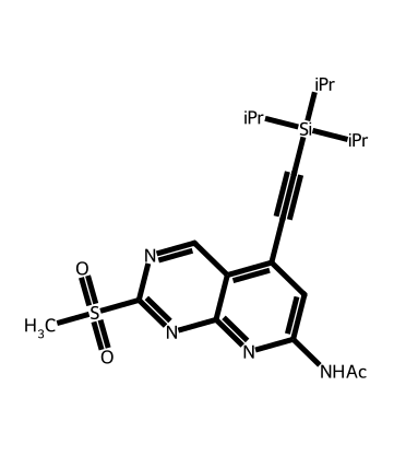 CC(=O)Nc1cc(C#C[Si](C(C)C)(C(C)C)C(C)C)c2cnc(S(C)(=O)=O)nc2n1